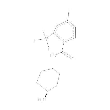 N[C@H]1CC[C@H](NC(=O)c2ccc(Cl)cc2C(F)(F)F)CC1